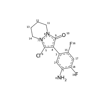 Nc1cc(-c2c(Cl)n3n(c2=O)CCCC3)c(F)cc1F